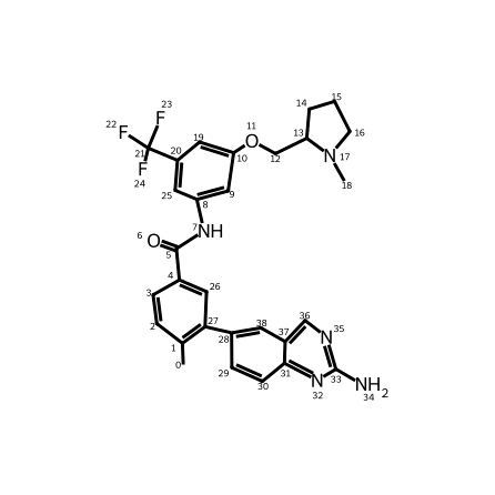 Cc1ccc(C(=O)Nc2cc(OCC3CCCN3C)cc(C(F)(F)F)c2)cc1-c1ccc2nc(N)ncc2c1